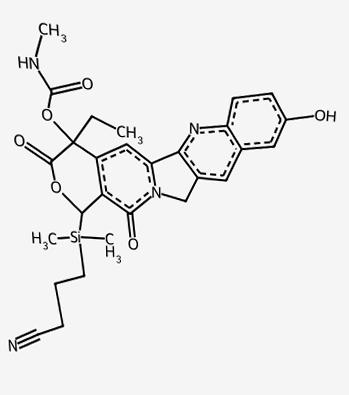 CCC1(OC(=O)NC)C(=O)OC([Si](C)(C)CCCC#N)c2c1cc1n(c2=O)Cc2cc3cc(O)ccc3nc2-1